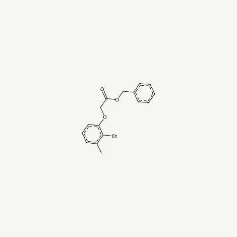 CCc1c(C)cccc1OCC(=O)OCc1ccccc1